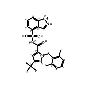 Cc1cccc(C)c1Cn1nc(C(C)(C)C)cc1C(=O)NS(=O)(=O)c1cccc2[nH]ncc12